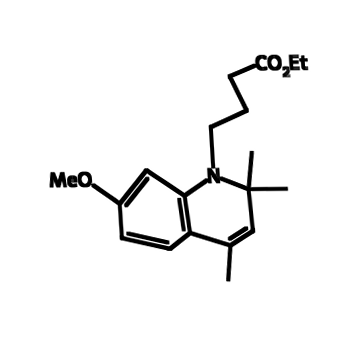 CCOC(=O)CCCN1c2cc(OC)ccc2C(C)=CC1(C)C